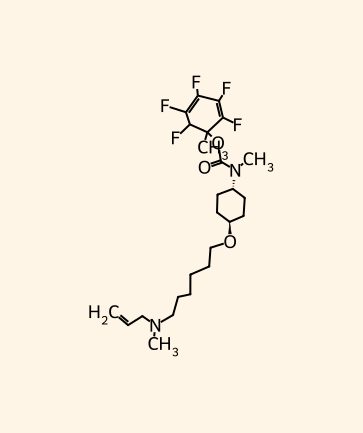 C=CCN(C)CCCCCCO[C@H]1CC[C@H](N(C)C(=O)OC2(C)C(F)=C(F)C(F)=C(F)C2F)CC1